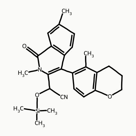 Cc1ccc2c(-c3ccc4c(c3C)CCCO4)c(C(C#N)O[Si](C)(C)C)n(C)c(=O)c2c1